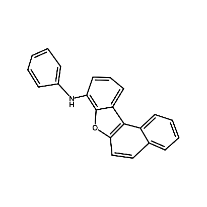 c1ccc(Nc2cccc3c2oc2ccc4ccccc4c23)cc1